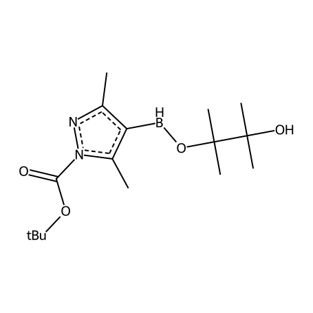 Cc1nn(C(=O)OC(C)(C)C)c(C)c1BOC(C)(C)C(C)(C)O